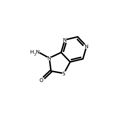 Nn1c(=O)sc2cncnc21